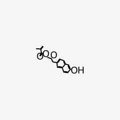 C=C(C)C(=O)OCC(=O)Cc1ccc2cc(O)ccc2c1